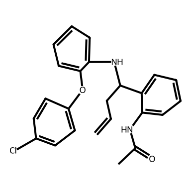 C=CCC(Nc1ccccc1Oc1ccc(Cl)cc1)c1ccccc1NC(C)=O